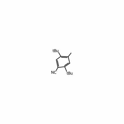 Cc1cc(C(C)(C)C)c(C#N)cc1C(C)(C)C